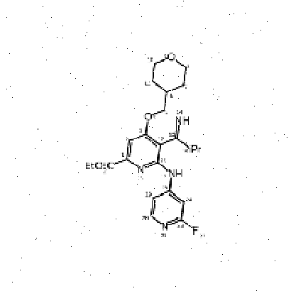 CCOC(=O)c1cc(OCC2CCOCC2)c(C(=N)C(C)C)c(Nc2ccnc(F)c2)n1